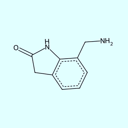 NCc1cccc2c1NC(=O)C2